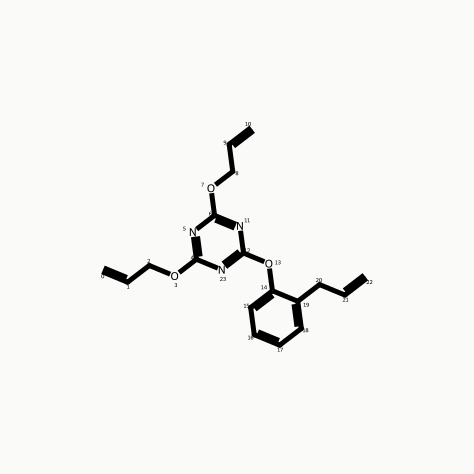 C=CCOc1nc(OCC=C)nc(Oc2ccccc2CC=C)n1